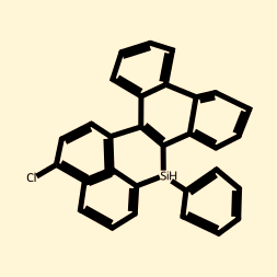 Clc1ccc(-c2c([SiH](c3ccccc3)c3ccccc3)c3ccccc3c3ccccc23)cc1